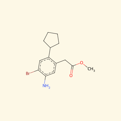 COC(=O)Cc1cc(N)c(Br)cc1C1CCCC1